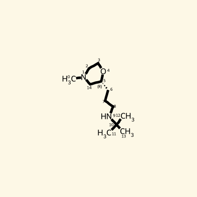 CN1CCO[C@H](CCCNC(C)(C)C)C1